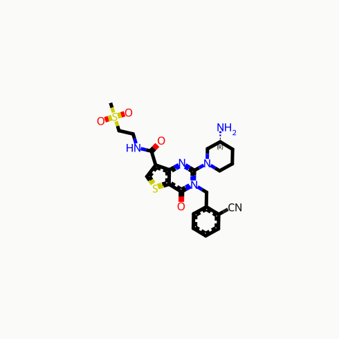 CS(=O)(=O)CCNC(=O)c1csc2c(=O)n(Cc3ccccc3C#N)c(N3CCC[C@@H](N)C3)nc12